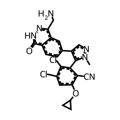 Cn1ncc(-c2ccc3c(=O)[nH]nc(CN)c3c2)c1-c1c(Cl)c(Cl)cc(OC2CC2)c1C#N